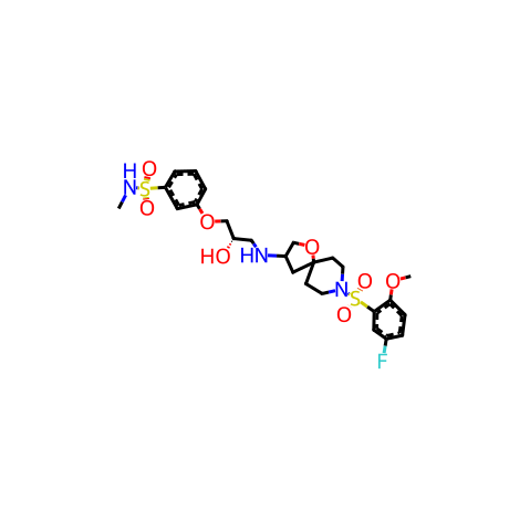 CNS(=O)(=O)c1cccc(OC[C@@H](O)CNC2COC3(CCN(S(=O)(=O)c4cc(F)ccc4OC)CC3)C2)c1